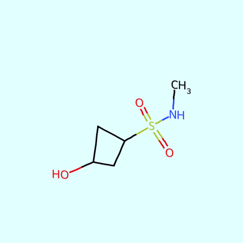 CNS(=O)(=O)C1CC(O)C1